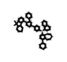 CC1(C)c2ccccc2-c2c(-c3ccc(-c4ccc(N(c5ccc(-c6ccccc6)c6c5C=CCC=C6)c5cccc6ccccc56)cc4)cc3-c3ccccc3)cccc21